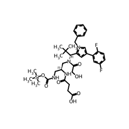 CC(C)(C)[C@H](c1cc(-c2cc(F)ccc2F)cn1Cc1ccccc1)N(C[C@H](CNC(=O)O[Si](C)(C)C)NC(=O)CCC(=O)O)C(=O)CO